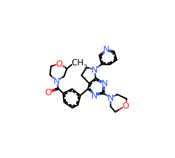 CC1CN(C(=O)c2cccc(-c3nc(N4CCOCC4)nc4c3CCN4c3cccnc3)c2)CCO1